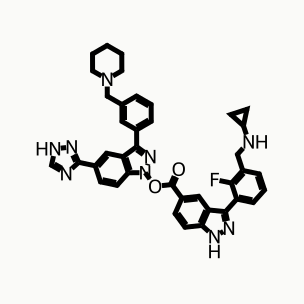 O=C(On1nc(-c2cccc(CN3CCCCC3)c2)c2cc(-c3nc[nH]n3)ccc21)c1ccc2[nH]nc(-c3cccc(CNC4CC4)c3F)c2c1